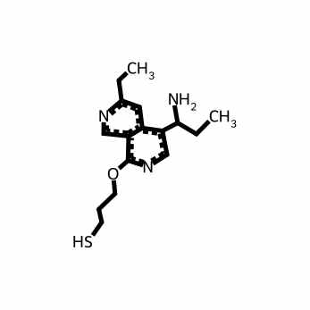 CCc1cc2c(C(N)CC)cnc(OCCCS)c2cn1